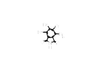 O=C1NC(=O)c2c(Br)c(Br)c(Br)c(Br)c21.[K]